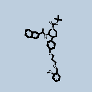 COc1ccccc1COCCCOc1ccc(C2CCN(C(=O)OC(C)(C)C)CC2NC(C)c2ccc3ccccc3c2)cc1